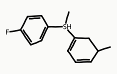 CC1C=CC=C([SH](C)c2ccc(F)cc2)C1